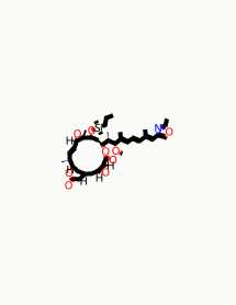 CCC[Si](C)(C)O[C@H]1C[C@@H]([C@H](C)[C@@H](OC)/C(C)=C/C=C/C(C)=C/c2coc(C)n2)OC(=O)[C@@H]2O[C@H]2C[C@H]2CC(=O)O[C@H](C2)[C@H](C)/C=C/[C@H]2O[C@]12C